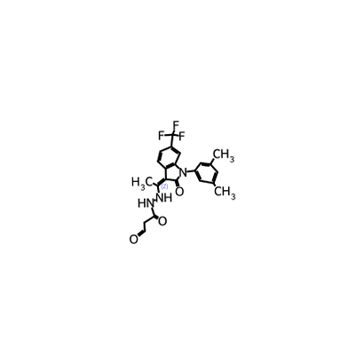 C/C(NNC(=O)CC=O)=C1/C(=O)N(c2cc(C)cc(C)c2)c2cc(C(F)(F)F)ccc21